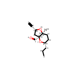 C#C[C@H]1C[C@]2(C=O)O[C@@H](CCC)CC[C@@H]2O1